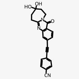 N#Cc1ccc(C#Cc2ccc3c(=O)n4c(nc3c2)CCC(O)(O)CC4)cc1